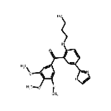 COc1cc(C(=O)c2cc(-c3ncco3)ccc2NCCCO)cc(OC)c1OC